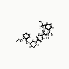 CCOc1ccccc1OC1CCCN(c2ncc(C(=O)N[C@H](C)c3cccc(C(=O)OC)c3)cn2)C1